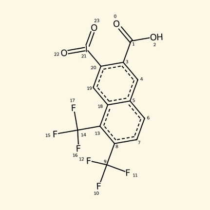 O=C(O)c1cc2ccc(C(F)(F)F)c(C(F)(F)F)c2cc1I(=O)=O